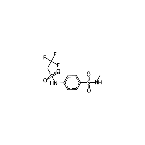 CNS(=O)(=O)c1ccc(NS(=O)(=O)CC(F)(F)F)cc1